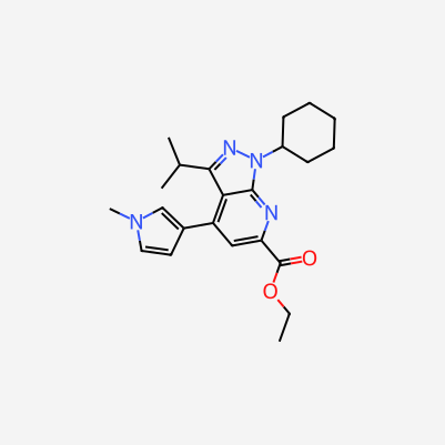 CCOC(=O)c1cc(-c2ccn(C)c2)c2c(C(C)C)nn(C3CCCCC3)c2n1